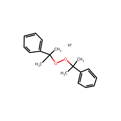 CC(C)(OOC(C)(C)c1ccccc1)c1ccccc1.[H+]